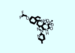 Cc1ccc(-n2nc3c(c2NC(=O)CS(C)(=O)=O)C(=O)N[C@@]2(CCc4cc(OCC(F)F)ccc42)C3)nc1